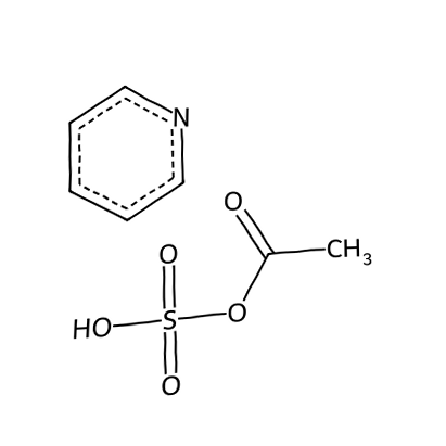 CC(=O)OS(=O)(=O)O.c1ccncc1